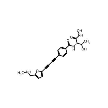 CNCc1ccc(C#CC#Cc2ccc(C(=O)N[C@H](C(=O)NO)[C@@H](C)O)cc2)o1